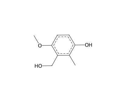 COc1ccc(O)c(C)c1CO